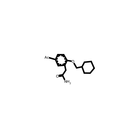 CC(=O)c1ccc(OCC2CCCCC2)c(CC(N)=O)c1